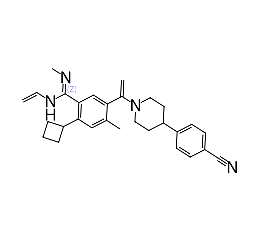 C=CN/C(=N\C)c1cc(C(=C)N2CCC(c3ccc(C#N)cc3)CC2)c(C)cc1C1CCC1